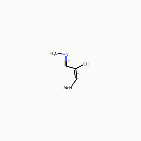 C/N=C/C(C)=C\NC